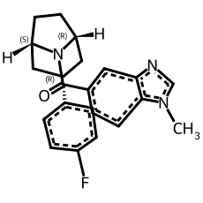 Cn1cnc2cc(C(=O)N3[C@@H]4CC[C@H]3C[C@@H](c3ccc(F)cc3)C4)ccc21